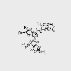 Cc1cc(-c2nn(COCC[Si](C)(C)C)c3cc(F)c(Br)cc23)cc2c1CCN(C)C2